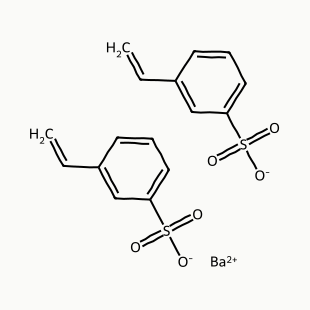 C=Cc1cccc(S(=O)(=O)[O-])c1.C=Cc1cccc(S(=O)(=O)[O-])c1.[Ba+2]